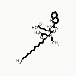 CCCCCCCCCCCCC[C@@H](CC(N)=O)N(CCC)C(=O)[C@H](CCCC(=O)O)NC(=O)c1ccc2ccccc2n1